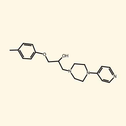 Cc1ccc(OCC(O)CN2CCN(c3ccncc3)CC2)cc1